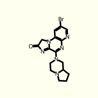 O=C1CN2C(=N1)C(N1CCN3CCCC3C1)=Nc1ncc(Br)cc12